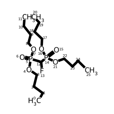 CCCCOP(=O)(OCCCC)C(F)P(=O)(OCCCC)OCCCC